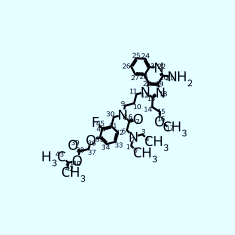 CCN(CC)CC(=O)N(CCCn1c(CCOC)nc2c(N)nc3ccccc3c21)Cc1cccc(OCC(=O)OC(C)C)c1F